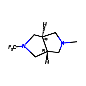 CN1C[C@@H]2CN(C(F)(F)F)C[C@H]2C1